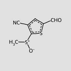 C[S+]([O-])c1sc(C=O)cc1C#N